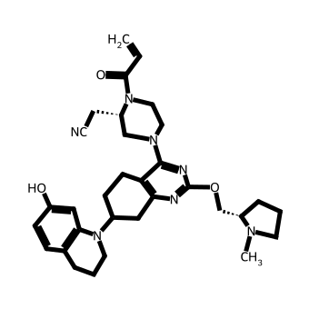 C=CC(=O)N1CCN(c2nc(OC[C@@H]3CCCN3C)nc3c2CCC(N2CCCc4ccc(O)cc42)C3)C[C@@H]1CC#N